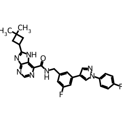 CC1(C)CC(c2nc3ncnc(C(=O)NCc4cc(F)cc(-c5cnn(-c6ccc(F)cc6)c5)c4)c3[nH]2)C1